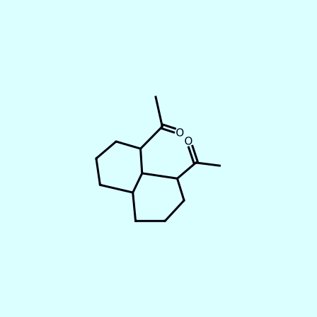 CC(=O)C1CCCC2CCCC(C(C)=O)C21